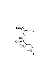 CCOC(=O)C(N)C=CC(C1CCN(C(C)=O)CC1)P(=O)(O)O